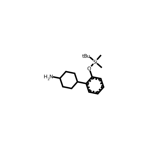 CC(C)(C)[Si](C)(C)Oc1ccccc1C1CCC(N)CC1